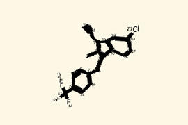 C#CC1=C(C)C(=Cc2ccc(C(F)(F)F)cc2)c2ccc(Cl)cc21